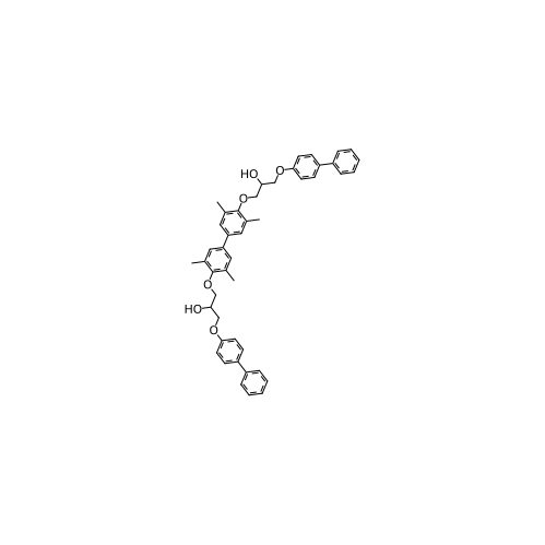 Cc1cc(-c2cc(C)c(OCC(O)COc3ccc(-c4ccccc4)cc3)c(C)c2)cc(C)c1OCC(O)COc1ccc(-c2ccccc2)cc1